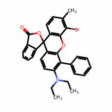 CCN(CC)c1ccc2c(c1-c1ccccc1)Oc1c(ccc(C)c1Br)C21OC(=O)c2ccccc21